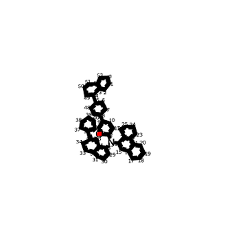 c1ccc2c(-c3ccc(-c4ccc(N(c5cc6ccccc6c6ccccc56)c5cccc6ccc7c8ccccc8oc7c56)cc4)cc3)cccc2c1